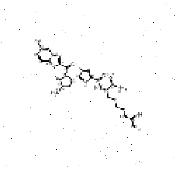 N=C(N)NCCCCC(NC(=O)c1csc([C@@H]2C[C@@H](N)CN2C(=O)c2cn3cc(Cl)ccc3n2)n1)C(N)=O